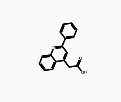 O=C(O)Cc1cc(-c2ccccc2)nc2ccccc12